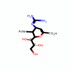 CC(=O)NC1C(N=C(N)N)C=C(C(=O)O)OC1[C@H](O)[C@H](O)CO